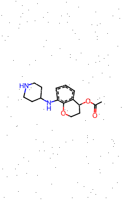 CC(=O)OC1CCOc2c(NC3CCNCC3)cccc21